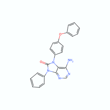 Nc1ncnc2c1n(-c1ccc(Oc3ccccc3)cc1)c(=O)n2-c1ccccc1